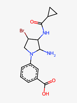 NC1C(NC(=O)C2CC2)C(Br)CN1c1cccc(C(=O)O)c1